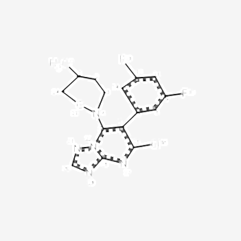 CC1CCN(c2c(-c3cc(F)cc(F)c3)c(Cl)nc3ncnn23)CC1